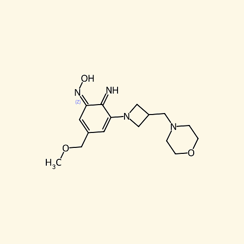 COCC1=C/C(=N/O)C(=N)C(N2CC(CN3CCOCC3)C2)=C1